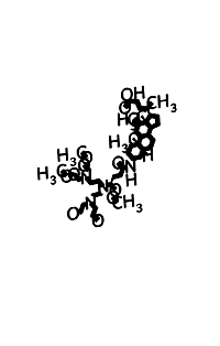 COOCN(CCN(CCN(CC=O)CC=O)[C@@H](CCC(=O)N[C@H]1CC[C@]2(C)C3CC(=O)[C@@]4(C)C(CC[C@@H]4C(C)CCC(=O)O)C3CC[C@@H]2C1)OOC)COOC